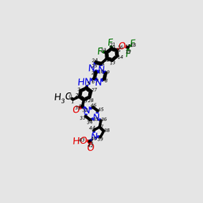 CCc1cc(Nc2nccn3c(-c4ccc(OC(F)F)c(F)c4F)cnc23)ccc1C(=O)N1CCN(CC2CCN(C(=O)O)C2)CC1